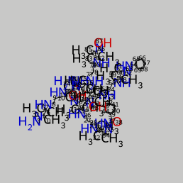 CC(=NN)C(C)(C)NCCCNC(C)(C)C(CC(CC(=NO)C(C)(C)NCCCNC(C)(C)C(C)=NNC(=O)c1ccccc1)(CC(=NO)C(C)(C)NCCCNC(C)(C)C(C)=NNc1ccccc1)C(=NN)C(C)(C)NCCCNC(C)(C)C(C)=NO)=NN